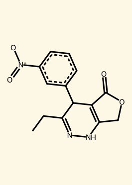 CCC1=NNC2=C(C(=O)OC2)C1c1cccc([N+](=O)[O-])c1